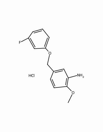 COc1ccc(COc2cccc(F)c2)cc1N.Cl